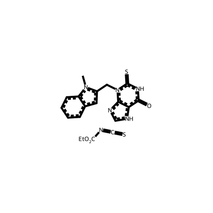 CCOC(=O)N=C=S.Cn1c(Cn2c(=S)[nH]c(=O)c3[nH]cnc32)cc2ccccc21